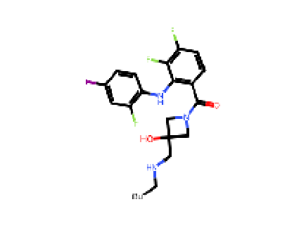 CCC(C)CNCC1(O)CN(C(=O)c2ccc(F)c(F)c2Nc2ccc(I)cc2F)C1